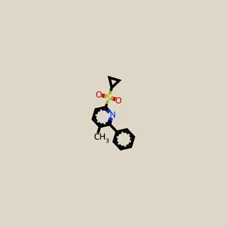 Cc1ccc(S(=O)(=O)C2CC2)nc1-c1ccccc1